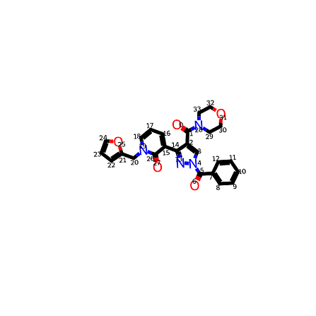 O=C(c1cn(C(=O)c2ccccc2)nc1-c1cccn(Cc2ccco2)c1=O)N1CCOCC1